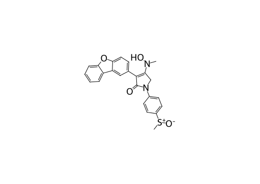 CN(O)C1=C(c2ccc3oc4ccccc4c3c2)C(=O)N(c2ccc([S+](C)[O-])cc2)C1